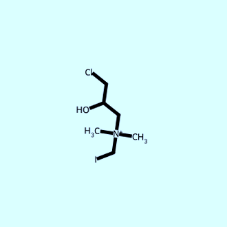 C[N+](C)(CI)CC(O)CCl